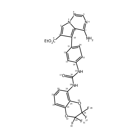 CCOC(=O)c1cn2ncnc(N)c2c1-c1ccc(NC(=O)Nc2cccc3c2OC(F)(F)C(F)(F)O3)cc1